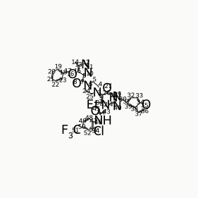 CCc1c(N2CCN(C(=O)c3ncnc(C)c3OCc3ccccc3)CC2)c(=O)n2nc(-c3ccc4occc4c3)nc2n1CC(=O)Nc1ccc(C(F)(F)F)cc1Cl